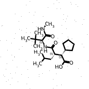 CNC(=O)[C@@H](NC(=O)[C@@H](CC(C)C)[C@@H](C(=O)O)C1CCCC1)C(C)(C)C